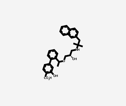 CC(OC[C@@H](O)CNC(C)(C)Cc1ccc2ccccc2c1)c1ccccc1-c1ccc(C(=O)O)c(O)c1